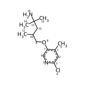 Cc1cc(Cl)ncc1OCC(C)CC(C)(C)N